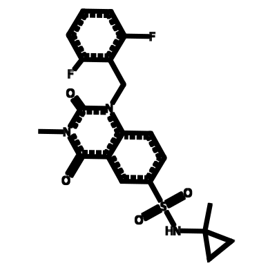 Cn1c(=O)c2cc(S(=O)(=O)NC3(C)CC3)ccc2n(Cc2c(F)cccc2F)c1=O